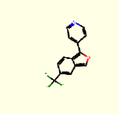 FC(F)(F)c1ccc2c(-c3ccncc3)occ2c1